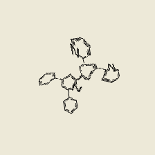 c1ccc(-c2cc(-c3ccccc3)nc(-c3cc(-c4ccccn4)cc(-c4ccccn4)c3)c2)cc1